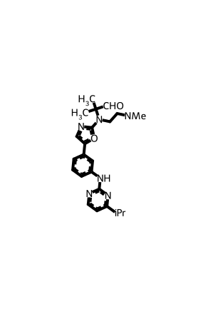 CNCCN(c1ncc(-c2cccc(Nc3nccc(C(C)C)n3)c2)o1)C(C)(C)C=O